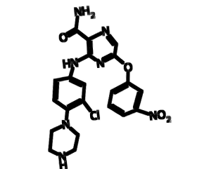 NC(=O)c1ncc(Oc2cccc([N+](=O)[O-])c2)nc1Nc1ccc(N2CCNCC2)c(Cl)c1